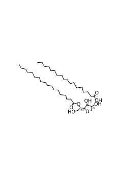 CCCCCCCCCCCCCCCCCC(=O)O.CCCCCCCCCCCCCCCCCC(=O)O[C@H](CO)[C@H]1OC[C@H](O)[C@H]1O